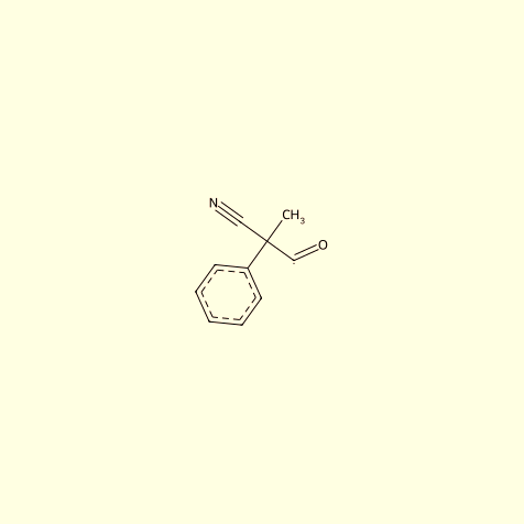 CC([C]=O)(C#N)c1ccccc1